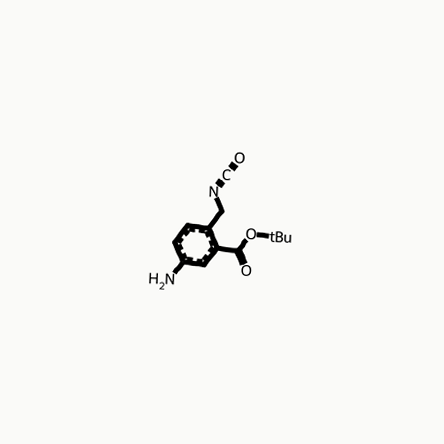 CC(C)(C)OC(=O)c1cc(N)ccc1CN=C=O